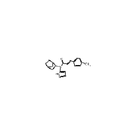 Cc1ccc(C=CC(=O)N(c2ccn[nH]2)C2CC3CCC2C3)cc1